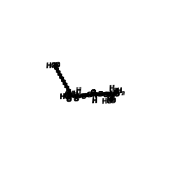 BC(=O)C(CCC(=O)O)NC(=O)COCCOCCNC(=O)COCCOCCNC(=O)CC[C@H](NC(=O)CCCCCCCCCCCCCCCCC(=O)O)C(=O)O